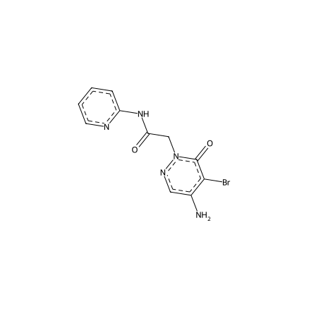 Nc1cnn(CC(=O)Nc2ccccn2)c(=O)c1Br